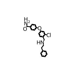 NC(=O)c1ccc(Oc2ccc(CNCCc3ccccc3)c(Cl)c2)cc1